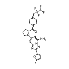 Cc1ccc(-c2nc3nc(N4CCC[C@H]4C(=O)N4CCN(CC(F)(F)C(F)F)CC4)nc(N)n3n2)o1